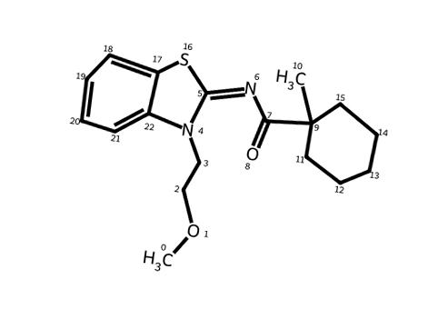 COCCn1c(=NC(=O)C2(C)CCCCC2)sc2ccccc21